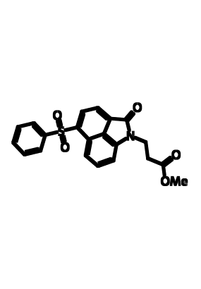 COC(=O)CCN1C(=O)c2ccc(S(=O)(=O)c3ccccc3)c3cccc1c23